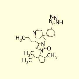 CCCCc1cn(C2C(C)CCC2C(C)C)c(=O)n1CC1(c2cccc(-c3nnn[nH]3)c2)C=CN=CC1